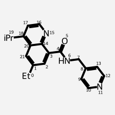 CCc1cc(C(=O)NCc2ccncc2)c2nccc(C(C)C)c2c1